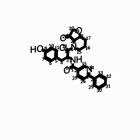 O=C(NC(Cc1ccc(O)cc1)C(=O)N1CCCC2OCC(=O)C21)c1ccc(-c2ccccc2)nc1